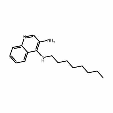 CCCCCCCCNc1c(N)cnc2ccccc12